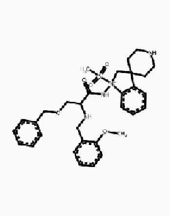 COc1ccccc1CNC(COCc1ccccc1)C(=O)N[N+]1(S(C)(=O)=O)CC2(CCNCC2)c2ccccc21